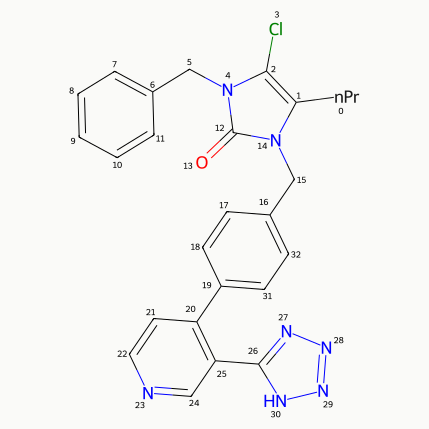 CCCc1c(Cl)n(Cc2ccccc2)c(=O)n1Cc1ccc(-c2ccncc2-c2nnn[nH]2)cc1